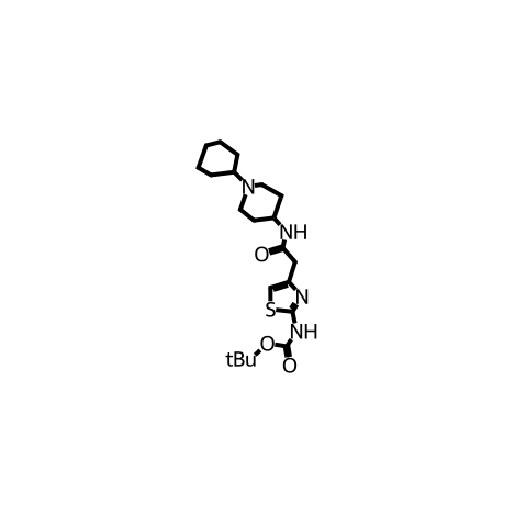 CC(C)(C)OC(=O)Nc1nc(CC(=O)NC2CCN(C3CCCCC3)CC2)cs1